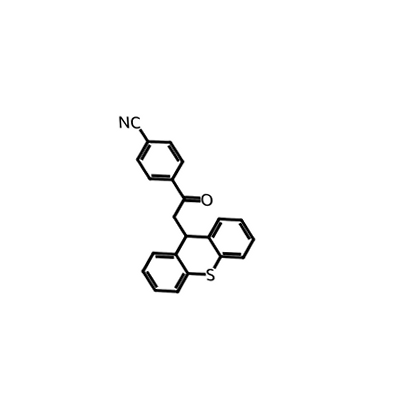 N#Cc1ccc(C(=O)CC2c3ccccc3Sc3ccccc32)cc1